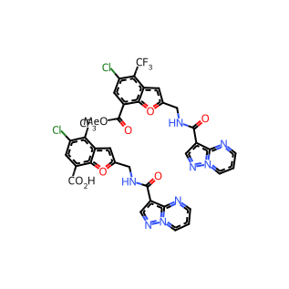 COC(=O)c1cc(Cl)c(C(F)(F)F)c2cc(CNC(=O)c3cnn4cccnc34)oc12.O=C(O)c1cc(Cl)c(C(F)(F)F)c2cc(CNC(=O)c3cnn4cccnc34)oc12